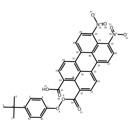 CC(C)(C)c1ccc(OOC(=O)c2ccc3c4ccc([N+](=O)[O-])c5c([N+](=O)[O-])ccc(c6ccc(C(=O)O)c2c63)c54)cc1